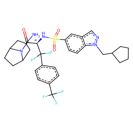 NC1CC2CCC(C1)N2C(=O)[C@@H](NS(=O)(=O)c1ccc2c(cnn2CC2CCCC2)c1)C(F)(F)c1ccc(C(F)(F)F)cc1